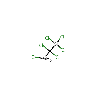 Cl[SiH2]C(Cl)(Cl)[Si](Cl)(Cl)Cl